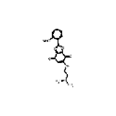 COc1ccccc1-c1nc2c(s1)C(=O)C=C(NCCN(C)C)C2=O